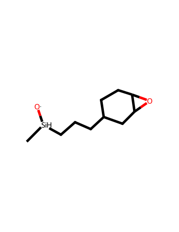 C[SiH]([O])CCCC1CCC2OC2C1